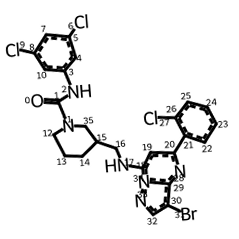 O=C(Nc1cc(Cl)cc(Cl)c1)N1CCCC(CNc2cc(-c3ccccc3Cl)nc3c(Br)cnn23)C1